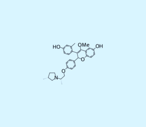 COC1=C(c2ccc(O)cc2C)C(c2ccc(OC[C@H](C)N3CC[C@@H](C)C3)cc2)Oc2ccc(O)cc21